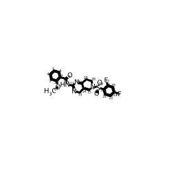 COc1ccccc1C(=O)NC1=NCC2=CN(S(=O)(=O)c3ccc(F)cc3F)CCC2=N1